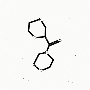 O=C(C1CNCCO1)N1CCOCC1